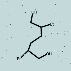 CCC(CO)CCC(CC)CO